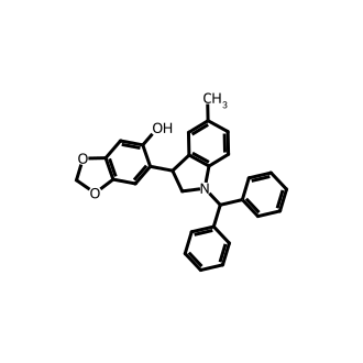 Cc1ccc2c(c1)C(c1cc3c(cc1O)OCO3)CN2C(c1ccccc1)c1ccccc1